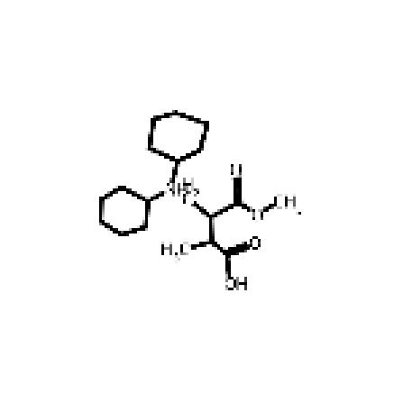 C1CCC(NC2CCCCC2)CC1.COC(=O)C(C)C(C)C(=O)O